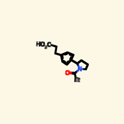 CCC(=O)N1CCCC1c1ccc(CCC(=O)O)cc1